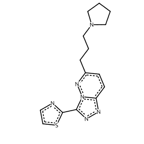 c1csc(-c2nnc3ccc(CCCN4CCCC4)nn23)n1